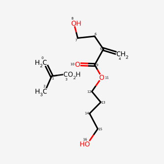 C=C(C)C(=O)O.C=C(CCO)C(=O)OCCCCO